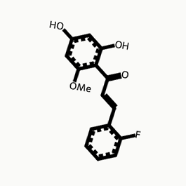 COc1cc(O)cc(O)c1C(=O)C=Cc1ccccc1F